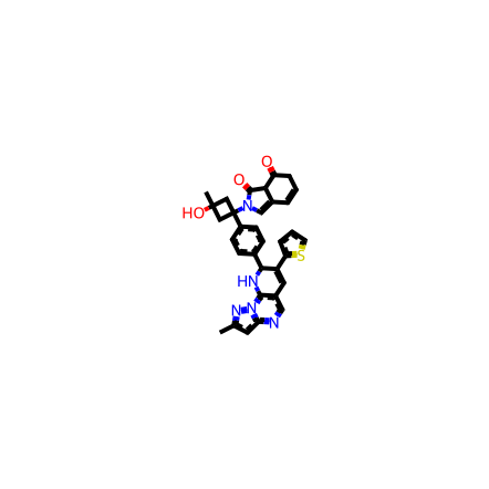 Cc1cc2ncc3c(n2n1)NC(c1ccc(C2(N4C=C5C=CCC(=O)C5C4=O)CC(C)(O)C2)cc1)C(c1cccs1)=C3